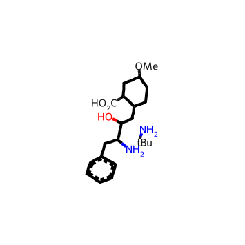 CC(C)(C)N.COC1CCC(CC(O)C(N)Cc2ccccc2)C(C(=O)O)C1